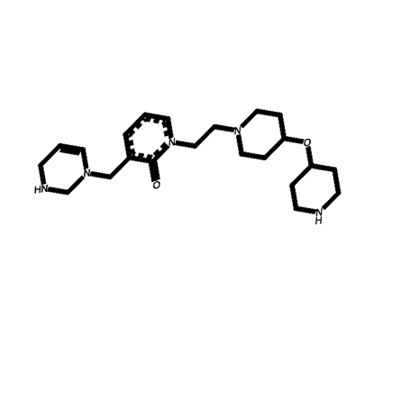 O=c1c(CN2C=CCNC2)cccn1CCN1CCC(OC2CCNCC2)CC1